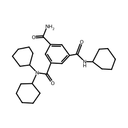 NC(=O)c1cc(C(=O)NC2CCCCC2)cc(C(=O)N(C2CCCCC2)C2CCCCC2)c1